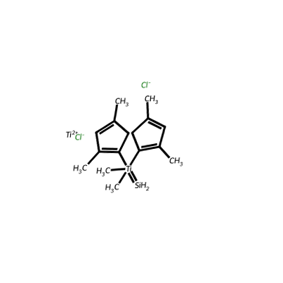 CC1=CC(C)=[C]([Ti]([CH3])([CH3])(=[SiH2])[C]2=C(C)C=C(C)C2)C1.[Cl-].[Cl-].[Ti+2]